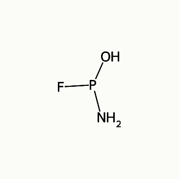 NP(O)F